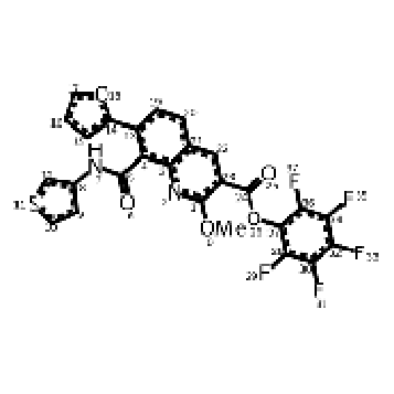 COc1nc2c(C(=O)Nc3ccsc3)c(-c3ccco3)ccc2cc1C(=O)Oc1c(F)c(F)c(F)c(F)c1F